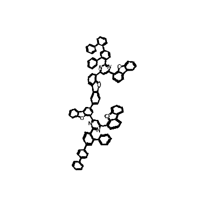 c1ccc(-c2ccc(-c3ccc(-c4nc(-c5cccc6c5oc5ccccc56)cc(-c5cc(-c6ccc7oc8c(-c9cc(-c%10cccc%11c%10oc%10ccccc%10%11)nc(-c%10ccc(-c%11ccccc%11-c%11ccccc%11)cc%10-c%10ccccc%10)n9)cccc8c7c6)cc6c5oc5ccccc56)n4)c(-c4ccccc4)c3)cc2)cc1